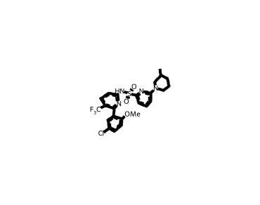 COc1ccc(Cl)cc1-c1nc(NS(=O)(=O)c2cccc(N3CCCC(C)C3)n2)ccc1C(F)(F)F